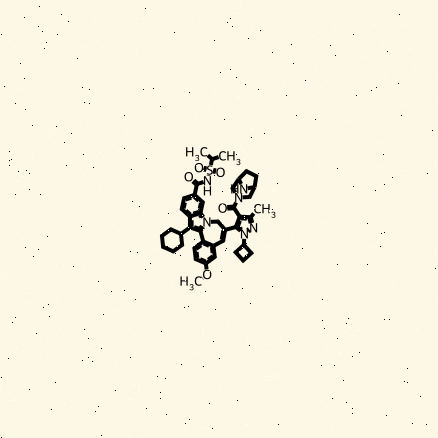 COc1ccc2c(c1)C=C(c1c(C(=O)N3CC4CCC(C3)N4)c(C)nn1C1CCC1)Cn1c-2c(C2CCCCC2)c2ccc(C(=O)NS(=O)(=O)C(C)C)cc21